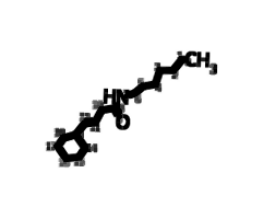 CCCCCCCNC(=O)CC=CC1CCCCC1